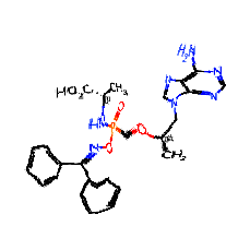 C[C@H](Cn1cnc2c(N)ncnc21)OCP(=O)(N[C@@H](C)C(=O)O)ON=C(c1ccccc1)c1ccccc1